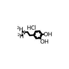 Cl.[2H]N([2H])CCc1ccc(O)c(O)c1